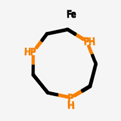 C1CPCCPCCP1.[Fe]